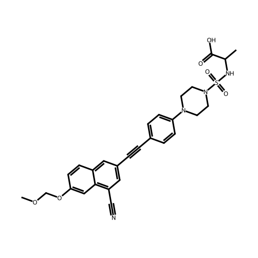 COCOc1ccc2cc(C#Cc3ccc(N4CCN(S(=O)(=O)NC(C)C(=O)O)CC4)cc3)cc(C#N)c2c1